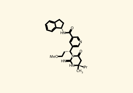 COCC[C@H](c1cncc(C(=O)N[C@H]2CCc3ccccc32)c1)N1C(=N)N[C@](C)(C(C)C)CC1=O